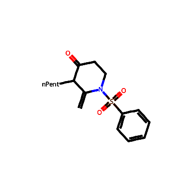 C=C1C(CCCCC)C(=O)CCN1S(=O)(=O)c1ccccc1